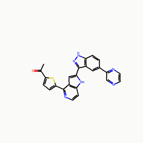 CC(=O)c1ccc(-c2nccc3[nH]c(-c4n[nH]c5ccc(-c6cnccn6)cc45)cc23)s1